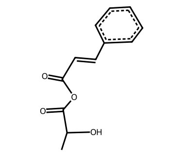 CC(O)C(=O)OC(=O)/C=C/c1ccccc1